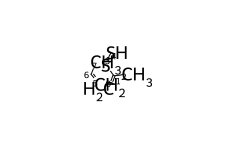 C=C(C)SS.C=CC